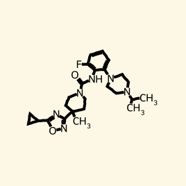 CC(C)N1CCN(c2cccc(F)c2NC(=O)N2CCC(C)(c3noc(C4CC4)n3)CC2)CC1